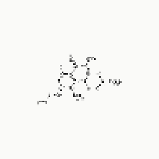 C=CCOc1cc(C)c(C(=O)N(CCC)[C@@H]2CCCN(C(=O)O)C2)cc1[N+](=O)[O-]